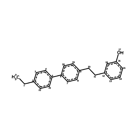 CCc1ccc(-c2ccc(CCc3cccc(O)c3)cc2)cc1